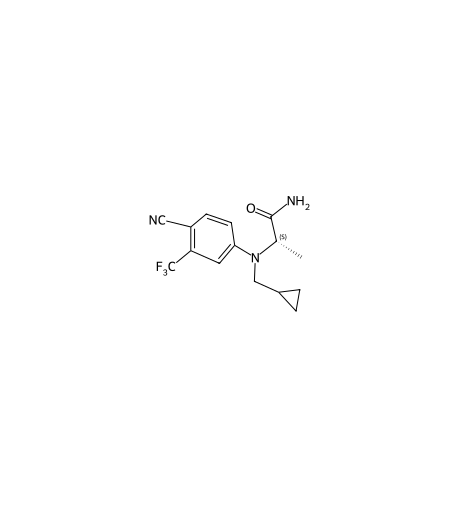 C[C@@H](C(N)=O)N(CC1CC1)c1ccc(C#N)c(C(F)(F)F)c1